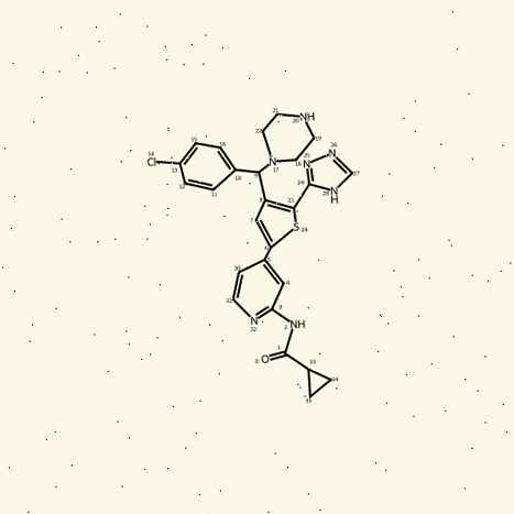 O=C(Nc1cc(-c2cc(C(c3ccc(Cl)cc3)N3CCNCC3)c(-c3nnc[nH]3)s2)ccn1)C1CC1